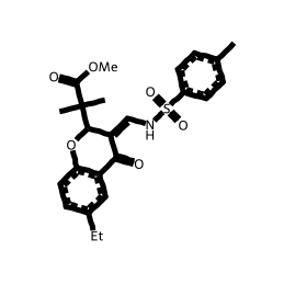 CCc1ccc2c(c1)C(=O)/C(=C\NS(=O)(=O)c1ccc(C)cc1)C(C(C)(C)C(=O)OC)O2